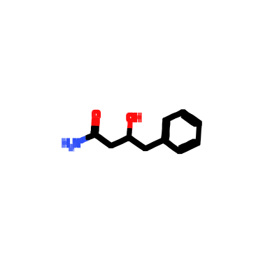 NC(=O)C[C](O)Cc1ccccc1